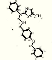 Cc1cnc(C(CNCc2ccc(OCc3ccccc3)cc2)c2ccccc2)s1